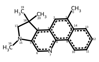 Cc1cc2c3c(cnc2c2ccccc12)N(C)CC3(C)C